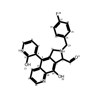 O=CC1c2c(c(-c3cccnc3O)c3cccnc3c2O)CN1Cc1ccc(F)cc1